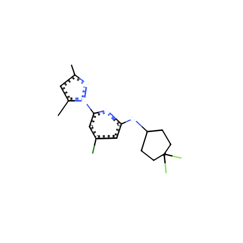 Cc1cc(C)n(-c2cc(Cl)cc(NC3CCC(F)(F)CC3)n2)n1